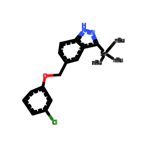 CCC[CH2][Sn]([CH2]CCC)([CH2]CCC)[c]1n[nH]c2ccc(COc3cccc(Cl)c3)cc12